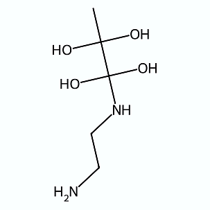 CC(O)(O)C(O)(O)NCCN